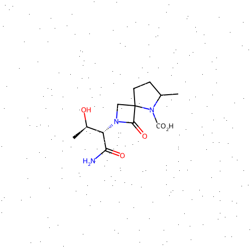 CC1CCC2(CN([C@H](C(N)=O)[C@@H](C)O)C2=O)N1C(=O)O